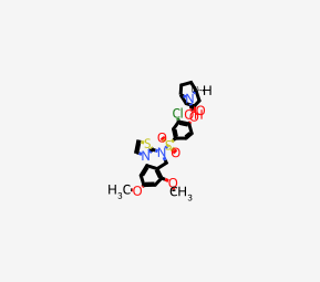 COc1ccc(CN(c2nccs2)S(=O)(=O)c2ccc(OC3CC4CC[C@@H](C3)N4C(=O)O)c(Cl)c2)c(OC)c1